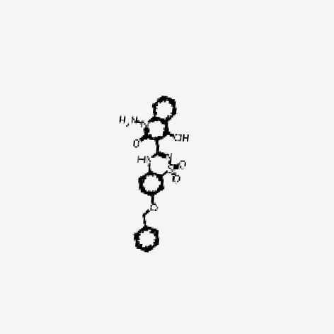 Nn1c(=O)c(C2=NS(=O)(=O)c3cc(OCc4ccccc4)ccc3N2)c(O)c2ccccc21